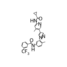 Cc1cc(NC(=O)C2CC2)ncc1-c1cnn(-c2cc(NC(=O)c3cccc(C(F)(F)F)c3)ccc2C)c1